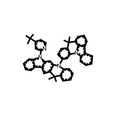 CC(C)(C)c1ccnc(-n2c3ccccc3c3cc4c(cc32)N(c2ccc3c(c2)-n2c5ccccc5c5cccc(c52)C3(C)C)c2ccccc2C4(C)C)c1